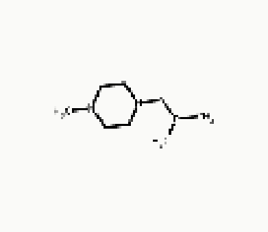 CN1CCN(SP(C)C)CC1